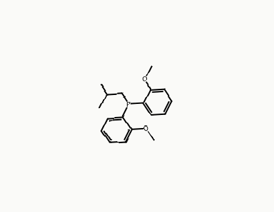 COc1ccccc1P(CC(C)C)c1ccccc1OC